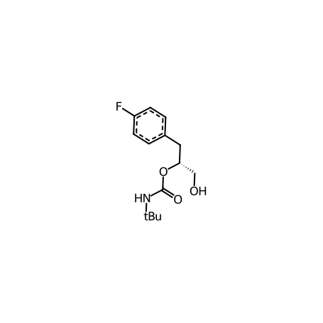 CC(C)(C)NC(=O)O[C@@H](CO)Cc1ccc(F)cc1